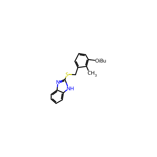 Cc1c(CSc2nc3ccccc3[nH]2)cccc1OCC(C)C